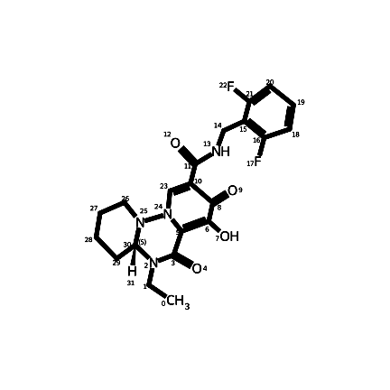 CCN1C(=O)c2c(O)c(=O)c(C(=O)NCc3c(F)cccc3F)cn2N2CCCC[C@@H]12